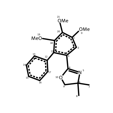 COc1cc(C2=NC(C)(C)CO2)c(-c2ccccc2)c(OC)c1OC